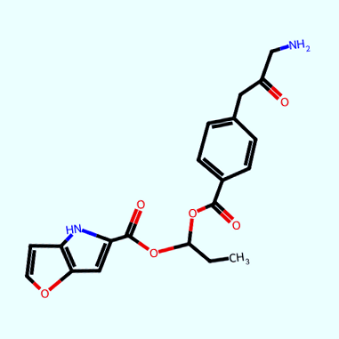 CCC(OC(=O)c1ccc(CC(=O)CN)cc1)OC(=O)c1cc2occc2[nH]1